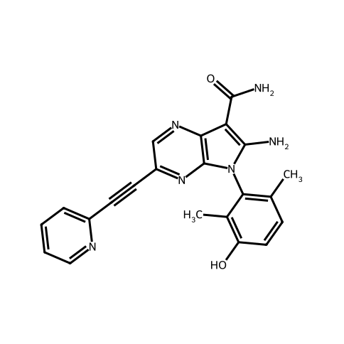 Cc1ccc(O)c(C)c1-n1c(N)c(C(N)=O)c2ncc(C#Cc3ccccn3)nc21